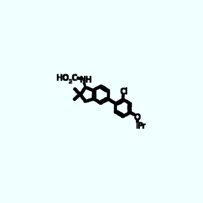 CC(C)Oc1ccc(-c2ccc3c(c2)CC(C)(C)[C@H]3NC(=O)O)c(Cl)c1